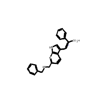 O=C(O)/C(=C/c1c[nH]c2nc(CNCc3ccccc3)ccc12)c1ccccc1